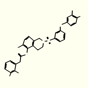 O=C(Cc1cccc(C(F)(F)F)c1F)Nc1c(Cl)ccc2c1CCN(S(=O)(=O)c1cccc(Oc3ccc(Cl)c(Cl)c3)c1)C2